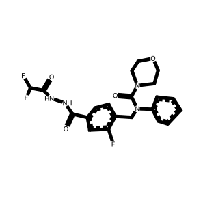 O=C(NNC(=O)C(F)F)c1ccc(CN(C(=O)N2CCOCC2)c2ccccc2)c(F)c1